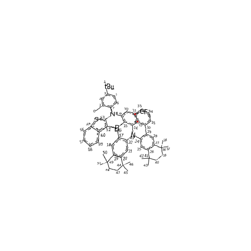 Cc1cc(C(C)(C)C)ccc1N1c2cc(C(F)(F)F)cc3c2B(c2cc4c(cc2N3c2cc3c(cc2-c2ccccc2)C(C)(C)CCC3(C)C)C(C)(C)CCC4(C)C)c2c1sc1ccccc21